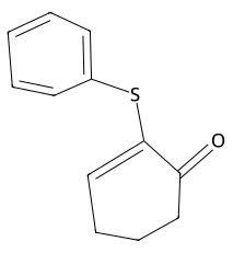 O=C1CCCC=C1Sc1ccccc1